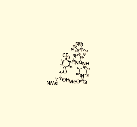 CNC[C@H](O)COc1ccc(C(F)(F)F)c(-c2nc(NC3CCN(C(=O)OC)CC3)c(C)c(-c3c(C)noc3C)n2)c1